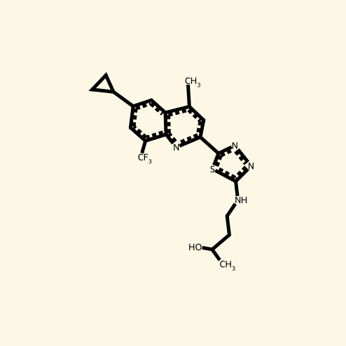 Cc1cc(-c2nnc(NCCC(C)O)s2)nc2c(C(F)(F)F)cc(C3CC3)cc12